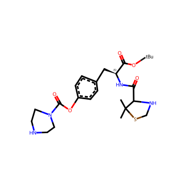 CC(C)(C)OC(=O)[C@H](Cc1ccc(OC(=O)N2CCNCC2)cc1)NC(=O)C1NCSC1(C)C